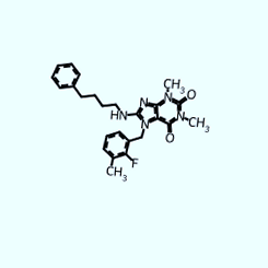 Cc1cccc(Cn2c(NCCCCc3ccccc3)nc3c2c(=O)n(C)c(=O)n3C)c1F